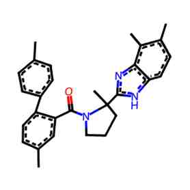 Cc1ccc(-c2ccc(C)cc2C(=O)N2CCCC2(C)c2nc3c(C)c(C)ccc3[nH]2)cc1